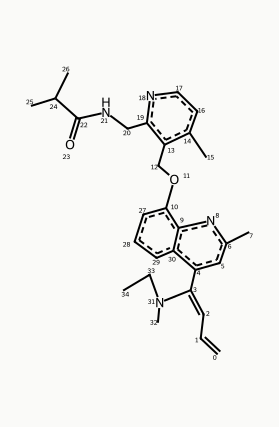 C=C/C=C(/c1cc(C)nc2c(OCc3c(C)ccnc3CNC(=O)C(C)C)cccc12)N(C)CC